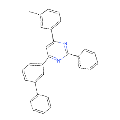 Cc1cccc(-c2cc(-c3cccc(-c4ccccc4)c3)nc(-c3ccccc3)n2)c1